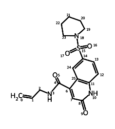 C=CCNC(=O)c1cc(=O)[nH]c2ccc(S(=O)(=O)N3CCCCC3)cc12